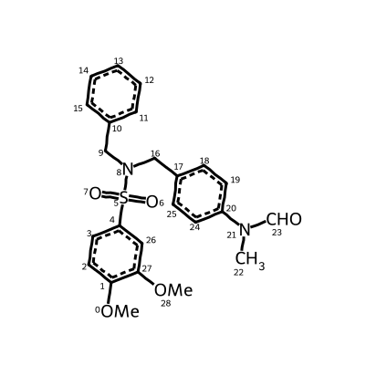 COc1ccc(S(=O)(=O)N(Cc2ccccc2)Cc2ccc(N(C)C=O)cc2)cc1OC